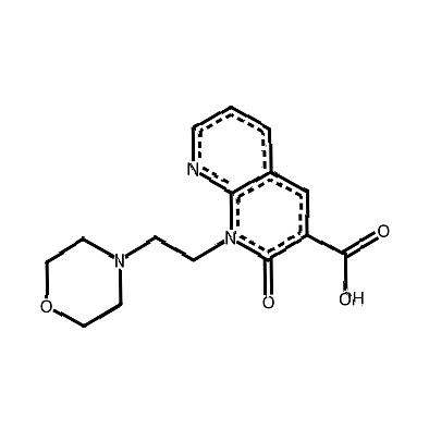 O=C(O)c1cc2cccnc2n(CCN2CCOCC2)c1=O